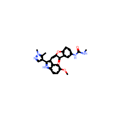 CNC(=O)Nc1ccc2c(c1)C(=O)C(=Cc1c(-c3cnn(C)c3C)[nH]c3ccc(OC)cc13)O2